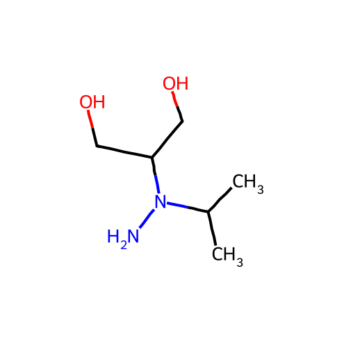 CC(C)N(N)C(CO)CO